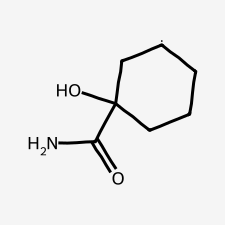 NC(=O)C1(O)C[CH]CCC1